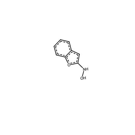 ONc1cc2ccccc2o1